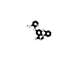 O=c1ncn(-c2ccccc2Cl)c2ccc(Oc3ncccc3C(F)(F)F)cc12